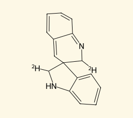 [2H]C1N=c2ccccc2=CC12c1ccccc1NC2[2H]